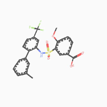 COc1ccc(C(=O)O)cc1S(=O)(=O)Nc1cc(C(F)(F)F)ccc1-c1cccc(C)c1